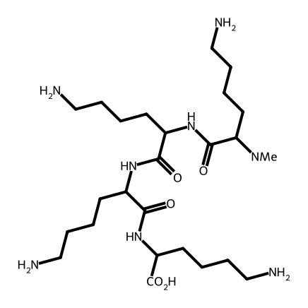 CNC(CCCCN)C(=O)NC(CCCCN)C(=O)NC(CCCCN)C(=O)NC(CCCCN)C(=O)O